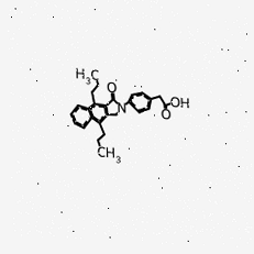 CCCc1c2c(c(CCC)c3ccccc13)C(=O)N(c1ccc(CC(=O)O)cc1)C2